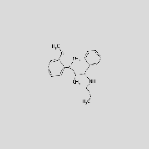 CCCNC(c1ccccc1)C(C)N(C)c1ccccc1OC